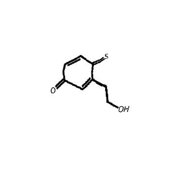 O=C1C=CC(=S)C(CCO)=C1